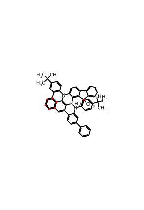 CC(C)(C)c1ccc(N2B3c4c(ccc5c4C(C)(C)c4ccccc4-5)N(c4ccc(C(C)(C)C)cc4-c4ccccc4)c4c3c(cc3ccccc43)-c3ccc(-c4ccccc4)cc32)cc1